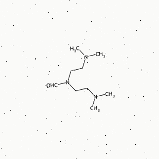 CN(C)CCN([C]=O)CCN(C)C